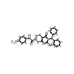 Nc1nc2c(c(=O)n1C(c1ccccc1)c1ccccc1)CCN(C(=O)Nc1ccc(C(F)(F)F)cc1)C2